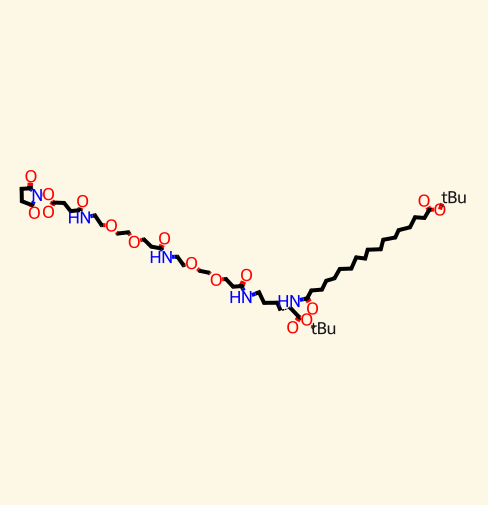 CC(C)(C)OC(=O)CCCCCCCCCCCCCCCCC(=O)N[C@@H](CCCCNC(=O)CCOCCOCCNC(=O)CCOCCOCCNC(=O)CCC(=O)ON1C(=O)CCC1=O)C(=O)OC(C)(C)C